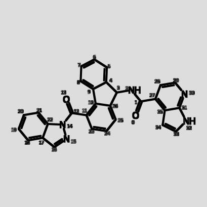 O=C(NC1c2ccccc2-c2c(C(=O)n3ncc4ccccc43)cccc21)c1ccnc2[nH]ccc12